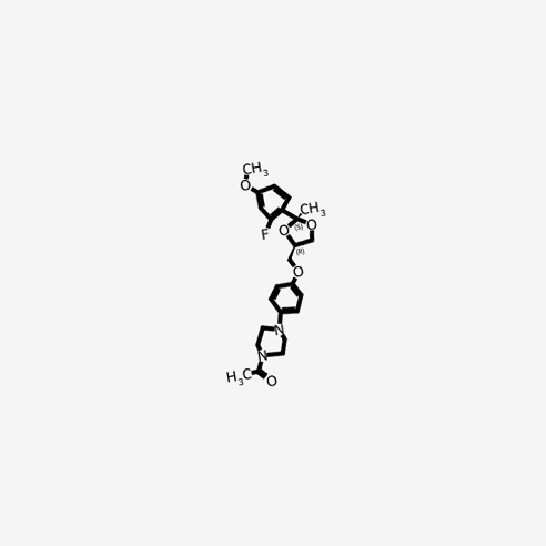 COc1ccc([C@@]2(C)OC[C@@H](COc3ccc(N4CCN(C(C)=O)CC4)cc3)O2)c(F)c1